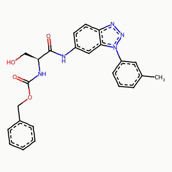 Cc1cccc(-n2nnc3ccc(NC(=O)[C@H](CO)NC(=O)OCc4ccccc4)cc32)c1